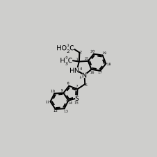 CC1(CC(=O)O)NN(Cc2cc3ccccc3s2)c2ccccc21